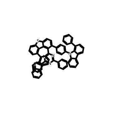 c1ccc(-c2nc(-c3ccccc3)nc(-c3c(-c4ccc(-n5c6ccccc6c6cccc(-c7ccccc7)c65)cc4)ccc4sc5cccc(-c6cccc7c6sc6ccccc67)c5c34)n2)cc1